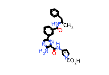 CC(Cc1ccccc1)NC(=O)c1cccc(-c2cnc(N)c(C(=O)N[C@H]3CCN(C(=O)O)C3)n2)c1